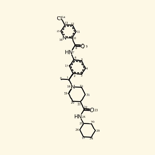 CC(c1cccc(NC(=O)c2ccc(Cl)cn2)c1)N1CCC(C(=O)NC2CCCCC2)CC1